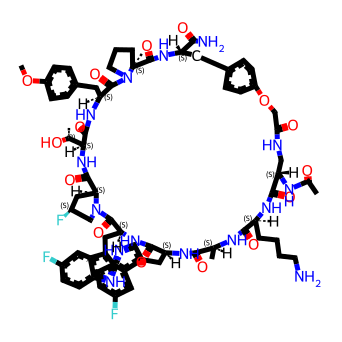 COc1ccc(C[C@@H]2NC(=O)[C@H]([C@@H](C)O)NC(=O)[C@@H]3C[C@H](F)CN3C(=O)[C@H](Cc3c[nH]c4ccc(F)cc34)NC(=O)[C@H](Cc3c[nH]c4ccc(F)cc34)NC(=O)[C@H](C)NC(=O)[C@H](CCCCN)NC(=O)[C@@H](NC(C)=O)CNC(=O)COc3ccc(cc3)C[C@@H](C(N)=O)NC(=O)[C@]3(C)CCCN3C2=O)cc1